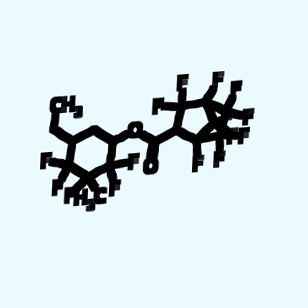 CCC1CC(OC(=O)C2C(F)(F)C3(F)C(F)(F)C(F)(F)C2(F)C3(F)F)C(F)(F)C(C)(F)C1(F)F